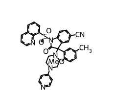 COc1ccc(C)cc1C1(N2CCN(c3ccncc3)CC2)C(=O)N(S(=O)(=O)c2cccc3cccnc23)c2ccc(C#N)cc21